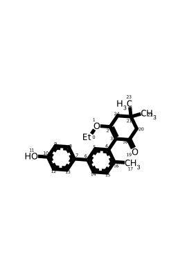 CCOC1=C(c2cc(-c3ccc(O)cc3)ccc2C)C(=O)CC(C)(C)C1